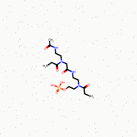 BCC(=O)N(CCNC(=O)CN(CCNC(C)=O)C(=O)CB)CCOP(=O)(O)O